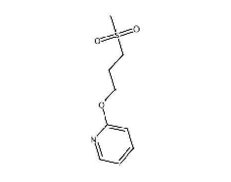 CS(=O)(=O)CCCOc1cc[c]cn1